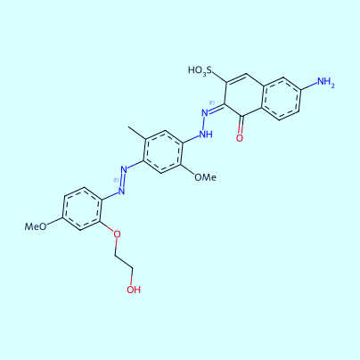 COc1ccc(/N=N/c2cc(OC)c(N/N=C3\C(=O)c4ccc(N)cc4C=C3S(=O)(=O)O)cc2C)c(OCCO)c1